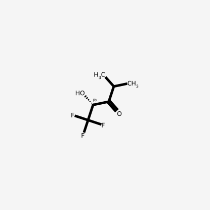 CC(C)C(=O)[C@@H](O)C(F)(F)F